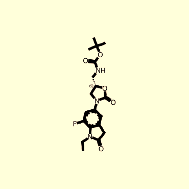 CCN1C(=O)Cc2cc(N3C[C@H](CNC(=O)OC(C)(C)C)OC3=O)cc(F)c21